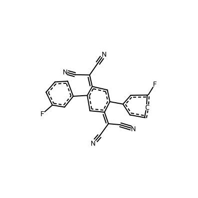 N#CC(C#N)=c1cc(-c2cccc(F)c2)c(=C(C#N)C#N)cc1-c1cccc(F)c1